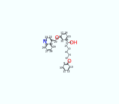 OC(CCCCCOc1ccccc1)c1cccc(OCc2ccnc3ccccc23)c1